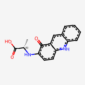 C[C@H](Nc1ccc2[nH]c3ccccc3cc-2c1=O)C(=O)O